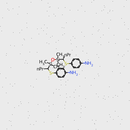 CCCC(Sc1ccc(N)cc1)[Si](C)(C)O[Si](C)(C)C(CCC)Sc1ccc(N)cc1